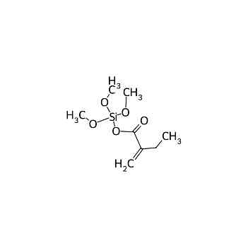 C=C(CC)C(=O)O[Si](OC)(OC)OC